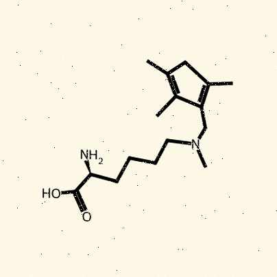 CC1=C(C)C(CN(C)CCCC[C@H](N)C(=O)O)=C(C)C1